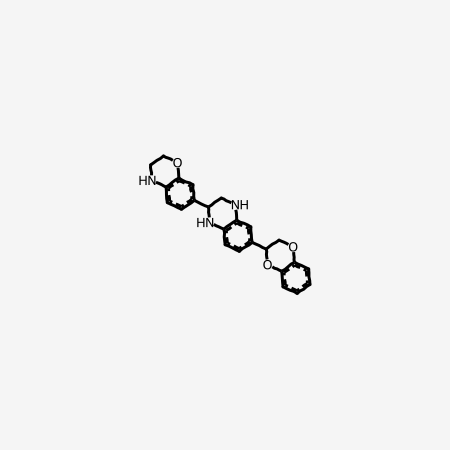 c1ccc2c(c1)OCC(c1ccc3c(c1)NCC(c1ccc4c(c1)OCCN4)N3)O2